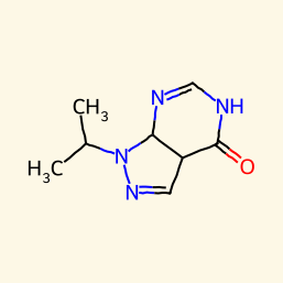 CC(C)N1N=CC2C(=O)NC=NC21